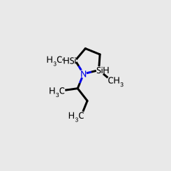 CCC(C)N1[SiH](C)CC[SiH]1C